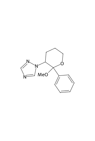 COC1(c2ccccc2)OCCCC1n1cncn1